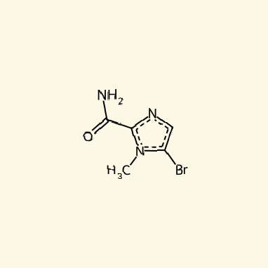 Cn1c(Br)cnc1C(N)=O